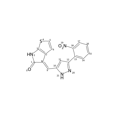 O=C1Nc2sccc2C1=Cc1cc(-c2ccccc2[N+](=O)[O-])n[nH]1